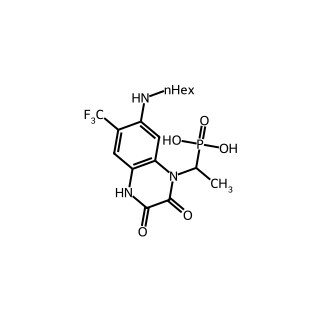 CCCCCCNc1cc2c(cc1C(F)(F)F)[nH]c(=O)c(=O)n2C(C)P(=O)(O)O